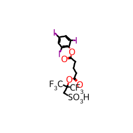 O=C(CCCC(=O)OC(CS(=O)(=O)O)(C(F)(F)F)C(F)(F)F)Oc1c(I)cc(I)cc1I